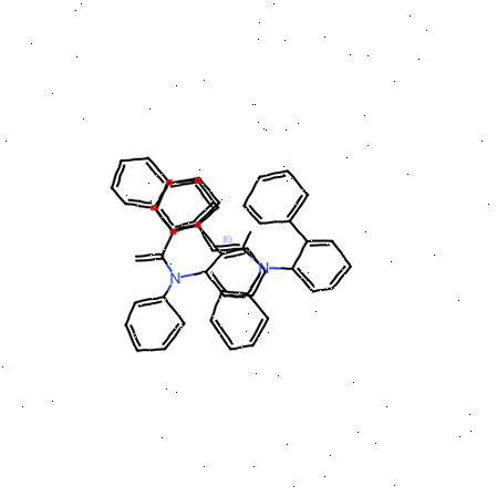 C=C(c1c(/C=C(\C)N(c2ccccc2)c2ccccc2-c2ccccc2)ccc2ccccc12)N(c1ccccc1)c1ccccc1-c1ccccc1